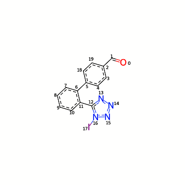 O=Cc1ccc(-c2ccccc2-c2nnnn2I)cc1